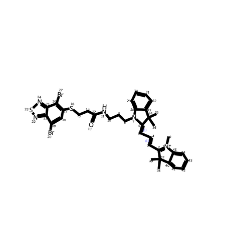 C[N+]1=C(/C=C/C=C2/N(CCCNC(=O)CCSc3cc(Br)c4nsnc4c3Br)c3ccccc3C2(C)C)C(C)(C)c2ccccc21